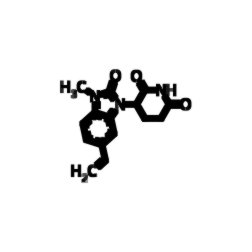 C=Cc1ccc2c(c1)n(C1CCC(=O)NC1=O)c(=O)n2C